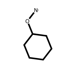 [N]OC1CCCCC1